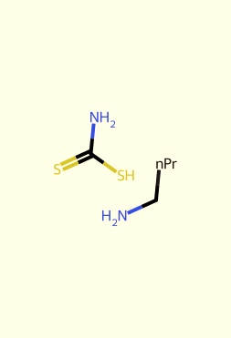 CCCCN.NC(=S)S